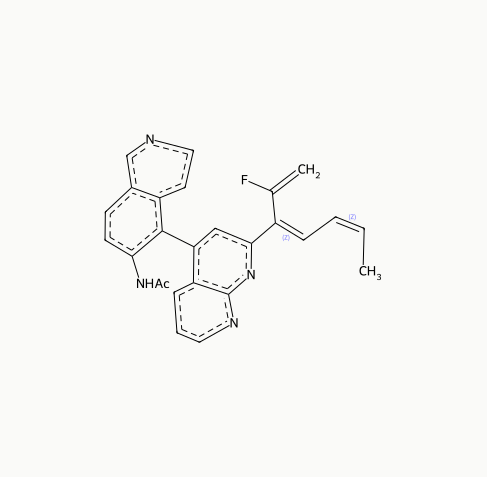 C=C(F)/C(=C\C=C/C)c1cc(-c2c(NC(C)=O)ccc3cnccc23)c2cccnc2n1